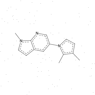 Cc1ccn(-c2cnc3c(ccn3C)c2)c1C